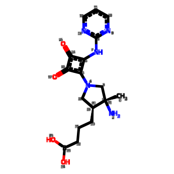 C[C@]1(N)CN(c2c(Nc3ncccn3)c(=O)c2=O)C[C@@H]1CCCB(O)O